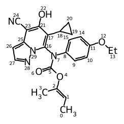 C/C=C(\C)OC(=O)N(c1ccc(OCC)cc1)c1c(C2CC2)c(O)c(C#N)c2ccnn12